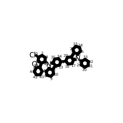 Clc1ccc(-n2c3ccccc3c3cc(-c4ccc5c(c4)c4ccccc4n5-c4ccccc4)ccc32)c2c1oc1ccccc12